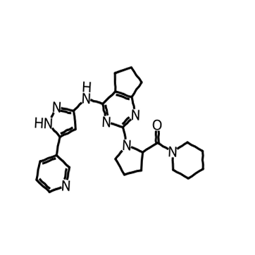 O=C(C1CCCN1c1nc2c(c(Nc3cc(-c4cccnc4)[nH]n3)n1)CCC2)N1CCCCC1